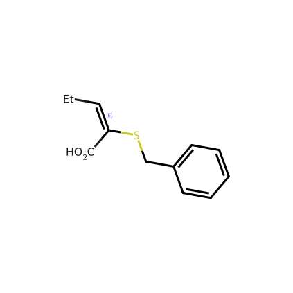 CC/C=C(/SCc1ccccc1)C(=O)O